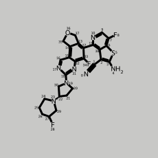 N#Cc1c(N)sc2c(F)cnc(-c3c4c(c5cnc(N6CC[C@@H](N7CCCC(F)C7)C6)nc5c3F)COC4)c12